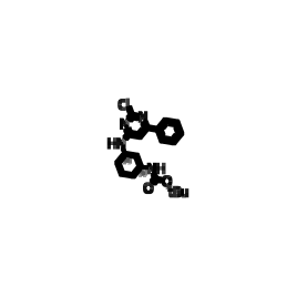 CC(C)(C)OC(=O)N[C@H]1CCC[C@@H](Nc2cc(-c3ccccc3)nc(Cl)n2)C1